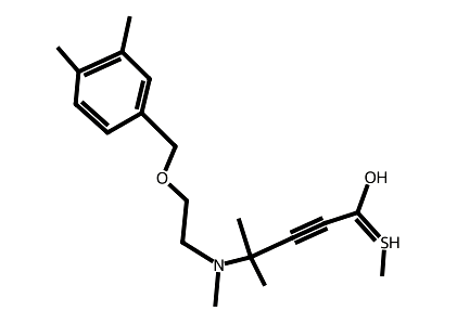 C[SH]=C(O)C#CC(C)(C)N(C)CCOCc1ccc(C)c(C)c1